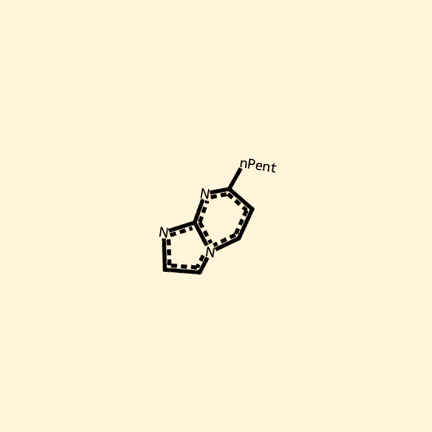 CCCCCc1ccn2ccnc2n1